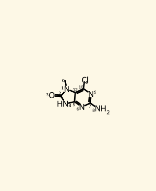 Cn1c(=O)[nH]c2nc(N)nc(Cl)c21